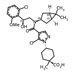 COc1cccc(Cl)c1[C@H](O)CN(C(=O)c1cnn([C@H]2CC[C@](C)(C(=O)O)CC2)c1Cl)[C@H]1C[C@@H]2[C@H](C1)C2(C)C